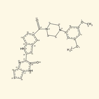 COc1cc(OC)cc(N2CCN(C(=O)c3ccc4[nH]c(-c5nc6cscc6[nH]c5=O)cc4c3)CC2)c1